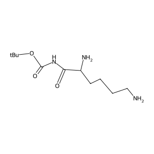 CC(C)(C)OC(=O)NC(=O)C(N)CCCCN